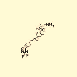 Cc1cc(OCCCC2CCN(c3nc(C(F)F)no3)CC2)ccc1C(=O)N[C@@H](C)CCN